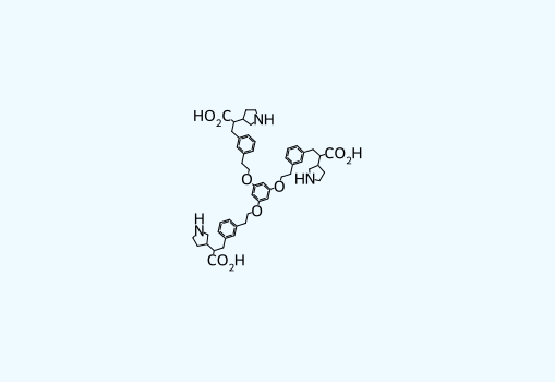 O=C(O)C(Cc1cccc(CCOc2cc(OCCc3cccc(CC(C(=O)O)C4CCNC4)c3)cc(OCCc3cccc(CC(C(=O)O)C4CCNC4)c3)c2)c1)C1CCNC1